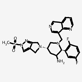 CS(=O)(=O)n1cc2c(n1)CN([C@H]1CC(N)[C@@H](c3cc(F)ccc3F)N(Cc3cncc4cccnc34)C1)C2